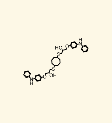 OC(COc1ccc(Nc2ccccc2)cc1)CSC1CCCC(SCC(O)COc2ccc(Nc3ccccc3)cc2)CCC1